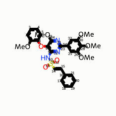 COc1ccccc1Oc1c(NS(=O)(=O)C=Cc2ccccc2)nc(-c2cc(OC)c(OC)c(OC)c2)nc1OC